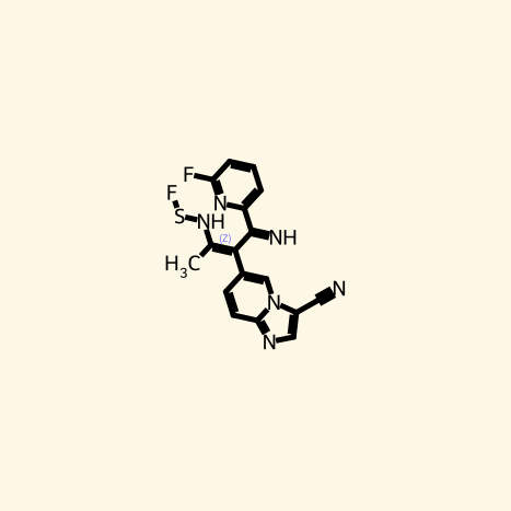 C/C(NSF)=C(/C(=N)c1cccc(F)n1)c1ccc2ncc(C#N)n2c1